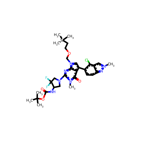 Cn1cc2c(Cl)c(-c3cn(COCC[Si](C)(C)C)c4nc(N5CC(NC(=O)OC(C)(C)C)C(F)(F)C5)n(C)c(=O)c34)ccc2n1